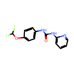 O=C(Nc1ccc(OC(F)F)cc1)Nc1ccccn1